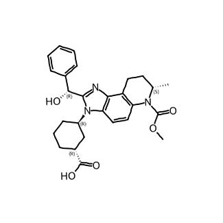 COC(=O)N1c2ccc3c(nc([C@H](O)c4ccccc4)n3[C@@H]3CCC[C@@H](C(=O)O)C3)c2CC[C@@H]1C